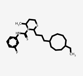 CCC1CCCCC(CCCC2SCCC(C)N2C(=S)Nc2cccc(F)c2)CCC1